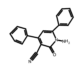 N#Cc1c(-c2ccccc2)cc(-c2ccccc2)n(N)c1=O